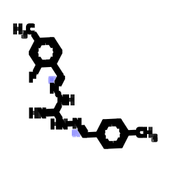 Cc1ccc(/C=N/NC(=N)N/N=C/c2ccc(C)cc2F)cc1